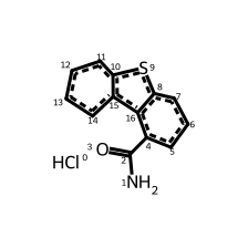 Cl.NC(=O)c1cccc2sc3ccccc3c12